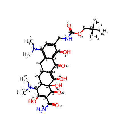 CN(C)c1cc(CNC(=O)OCC(C)(C)C)c(O)c2c1CC1CC3C(N(C)C)C(O)=C(C(N)=O)C(=O)C3(O)C(O)=C1C2=O